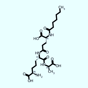 CCCCCCC(=O)N[C@H](CCC(=O)N[C@@H](CCC[C@@H](N)C(=O)O)C(=O)N[C@H](C)C(=O)O)C(=O)O